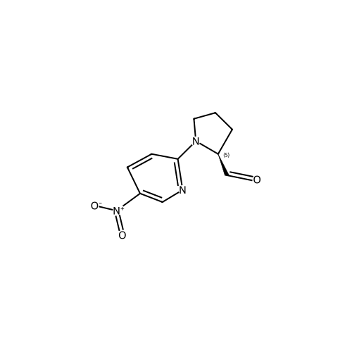 O=C[C@@H]1CCCN1c1ccc([N+](=O)[O-])cn1